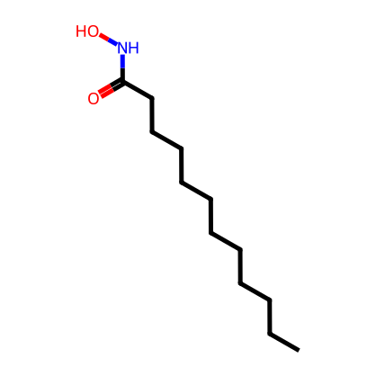 CCCCCCCCCCCC(=O)NO